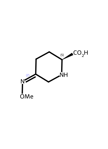 CO/N=C1/CC[C@@H](C(=O)O)NC1